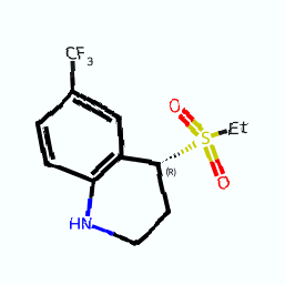 CCS(=O)(=O)[C@@H]1CCNc2ccc(C(F)(F)F)cc21